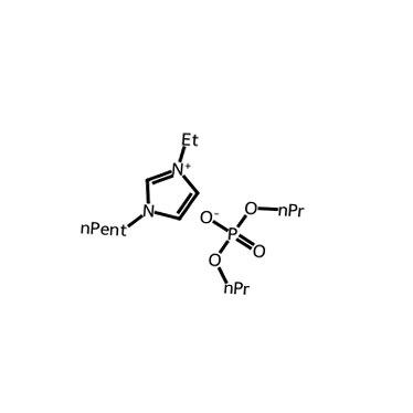 CCCCCn1cc[n+](CC)c1.CCCOP(=O)([O-])OCCC